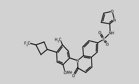 COc1cc(C2CC(C(F)(F)F)C2)c(C)cc1-n1c(=O)ccc2cc(S(=O)(=O)Nc3ccon3)ccc21